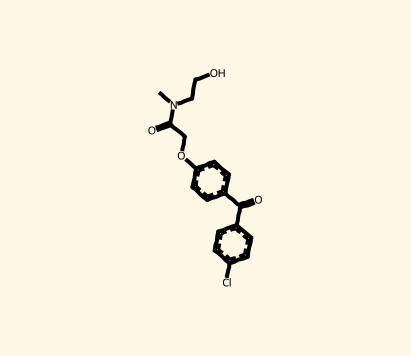 CN(CCO)C(=O)COc1ccc(C(=O)c2ccc(Cl)cc2)cc1